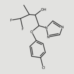 CC(C(F)F)C(O)C(Oc1ccc(Cl)cc1)n1cncn1